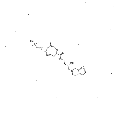 CN1\C=N/C(C(=O)NCC[C@H](O)CN2CCc3ccccc3C2)=C\C=N\C(CNCC(C)(C)O)C1